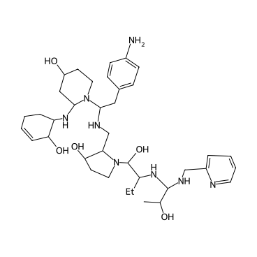 CCC(NC(NCc1ccccn1)C(C)O)C(O)N1CCC(O)C1CNC(Cc1ccc(N)cc1)N1CCC(O)CC1NC1CCC=CC1O